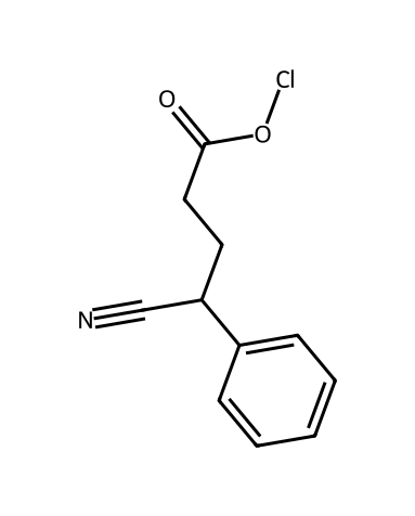 N#CC(CCC(=O)OCl)c1ccccc1